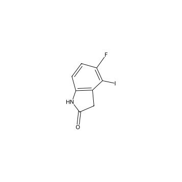 O=C1Cc2c(ccc(F)c2I)N1